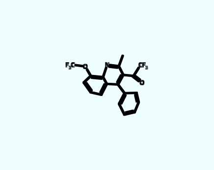 Cc1nc2c(OC(F)(F)F)cccc2c(-c2ccccc2)c1C(=O)C(F)(F)F